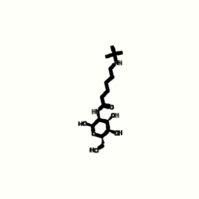 CC(C)(C)NCCCCCC(=O)N[C@H]1[C@H](O)[C@@H](O)[C@H](CO)O[C@H]1O